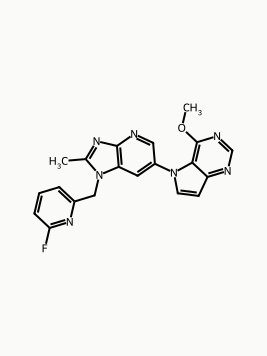 COc1ncnc2ccn(-c3cnc4nc(C)n(Cc5cccc(F)n5)c4c3)c12